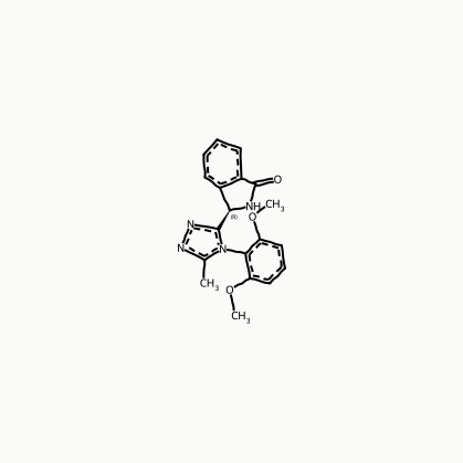 COc1cccc(OC)c1-n1c(C)nnc1[C@@H]1NC(=O)c2ccccc21